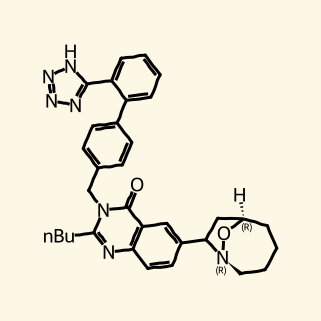 CCCCc1nc2ccc(C3C[C@H]4CCCC[N@]3O4)cc2c(=O)n1Cc1ccc(-c2ccccc2-c2nnn[nH]2)cc1